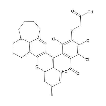 C=c1ccc2c(c1)Oc1c(cc3c4c1CCCN4CCCC3)C=2c1c(Cl)c(SCC(=O)O)c(Cl)c(Cl)c1C(=O)O